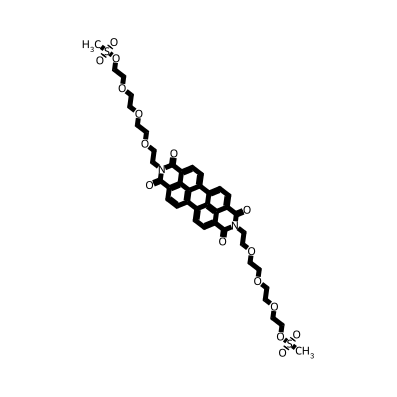 CS(=O)(=O)OCCOCCOCCOCCN1C(=O)c2ccc3c4ccc5c6c(ccc(c7ccc(c2c37)C1=O)c64)C(=O)N(CCOCCOCCOCCOS(C)(=O)=O)C5=O